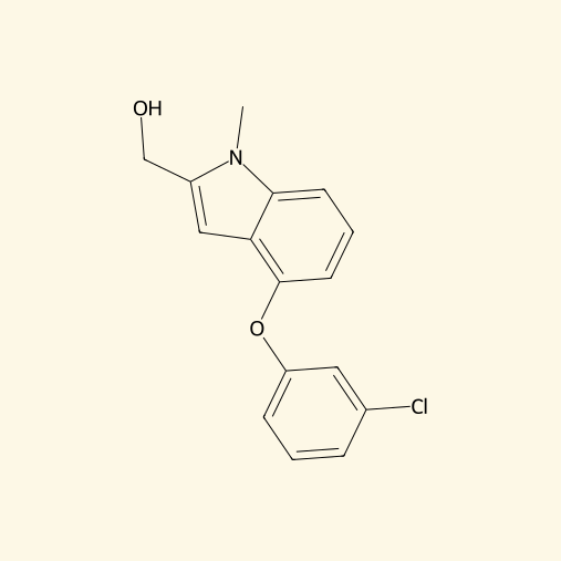 Cn1c(CO)cc2c(Oc3cccc(Cl)c3)cccc21